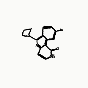 O=c1[nH]ccc2nc(C3CCC3)c3ccc(Br)cc3c12